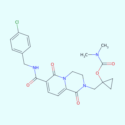 CN(C)C(=O)OC1(CN2CCn3c(ccc(C(=O)NCc4ccc(Cl)cc4)c3=O)C2=O)CC1